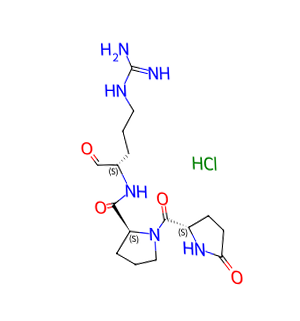 Cl.N=C(N)NCCC[C@@H](C=O)NC(=O)[C@@H]1CCCN1C(=O)[C@@H]1CCC(=O)N1